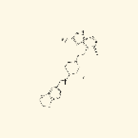 Cl.O=c1ccc2ncc(C(F)(F)F)cc2n1CCN1CCC(NCc2cc3c(cn2)OCCO3)CC1